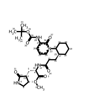 COC(=O)[C@H](C[C@@H]1CCNC1=O)NC(=O)CC[C@@H]1CCCCC1n1cccc(NC(=O)OC(C)(C)C)c1=O